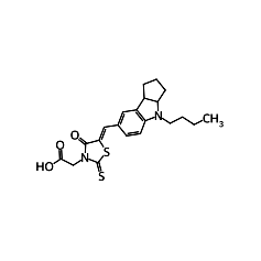 CCCCN1c2ccc(/C=C3\SC(=S)N(CC(=O)O)C3=O)cc2C2CCCC21